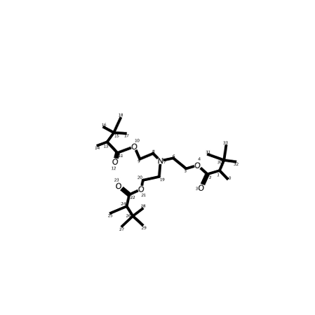 CC(C(=O)OCCN(CCOC(=O)C(C)C(C)(C)C)CCOC(=O)C(C)C(C)(C)C)C(C)(C)C